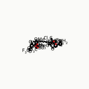 COC1=C2C=[N+]([O-])C3=CC=C(OS(=O)(=O)C(F)(F)F)C[C@@H]3[C@H](O[Si](C)(C)C(C)(C)C)[N+]2(C(=O)OCC(Cl)(Cl)Cl)C=C1OCCCCCOC1=C[N+]2(C(=O)OCC(Cl)(Cl)Cl)C(=C1OC)C=[N+]([O-])C1=CC=C(c3cccc(N)c3)C[C@@H]1[C@@H]2O[Si](C)(C)C(C)(C)C